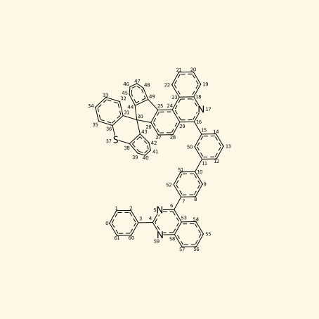 c1ccc(-c2nc(-c3ccc(-c4cccc(-c5nc6ccccc6c6c7c(ccc56)C5(c6ccccc6Sc6ccccc65)c5ccccc5-7)c4)cc3)c3ccccc3n2)cc1